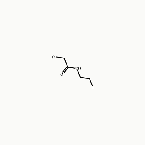 CC(C)CC(=O)NCCI